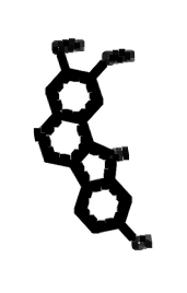 COc1cc2ncc3c4ccc(C#N)cc4[nH]c3c2cc1OC